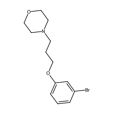 Brc1cccc(OCCCN2CCOCC2)c1